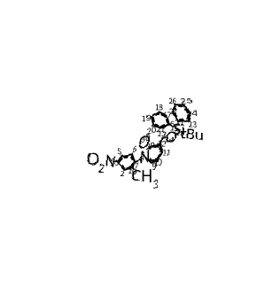 Cc1cc([N+](=O)[O-])ccc1-n1cccc(CO[Si](c2ccccc2)(c2ccccc2)C(C)(C)C)c1=O